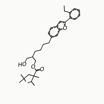 CCc1ccccc1-c1cc2ccc(CCCCC(CO)COC(=O)C(C)(CC(C)(C)C)C(C)C)cc2o1